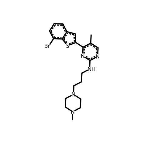 Cc1cnc(NCCCN2CCN(C)CC2)nc1-c1cc2cccc(Br)c2s1